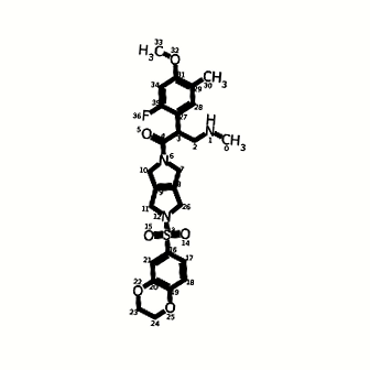 CNCC(C(=O)N1CC2=C(C1)CN(S(=O)(=O)c1ccc3c(c1)OCCO3)C2)c1cc(C)c(OC)cc1F